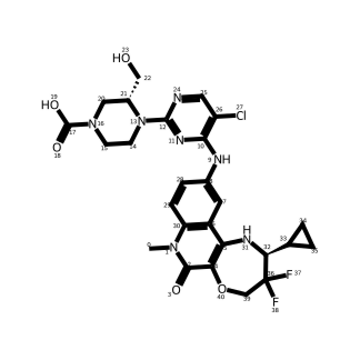 Cn1c(=O)c2c(c3cc(Nc4nc(N5CCN(C(=O)O)C[C@@H]5CO)ncc4Cl)ccc31)N[C@@H](C1CC1)C(F)(F)CO2